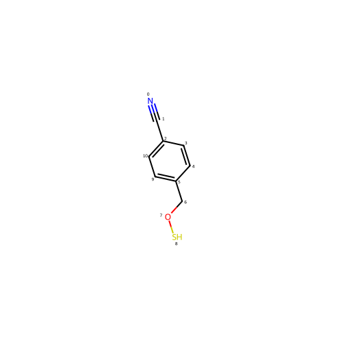 N#Cc1ccc(COS)cc1